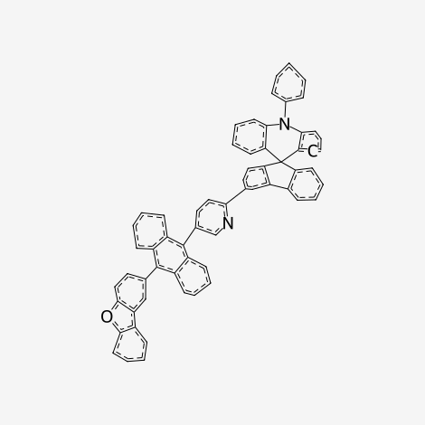 c1ccc(N2c3ccccc3C3(c4ccccc4-c4cc(-c5ccc(-c6c7ccccc7c(-c7ccc8oc9ccccc9c8c7)c7ccccc67)cn5)ccc43)c3ccccc32)cc1